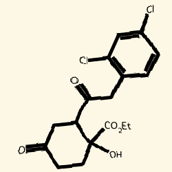 CCOC(=O)C1(O)CCC(=O)CC1C(=O)Cc1ccc(Cl)cc1Cl